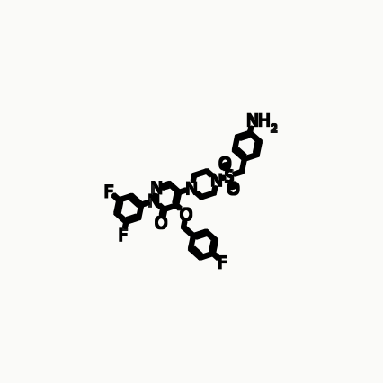 Nc1ccc(CS(=O)(=O)N2CCN(c3cnn(-c4cc(F)cc(F)c4)c(=O)c3OCc3ccc(F)cc3)CC2)cc1